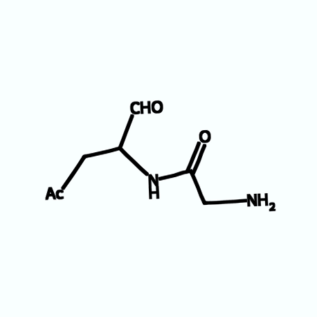 CC(=O)CC(C=O)NC(=O)CN